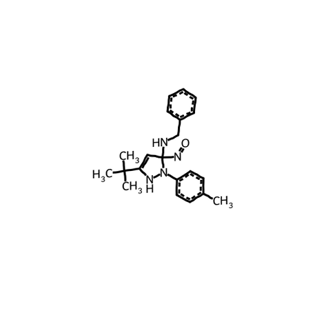 Cc1ccc(N2NC(C(C)(C)C)=CC2(N=O)NCc2ccccc2)cc1